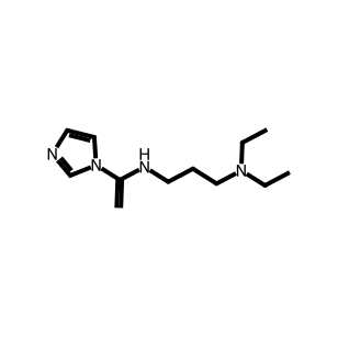 C=C(NCCCN(CC)CC)n1ccnc1